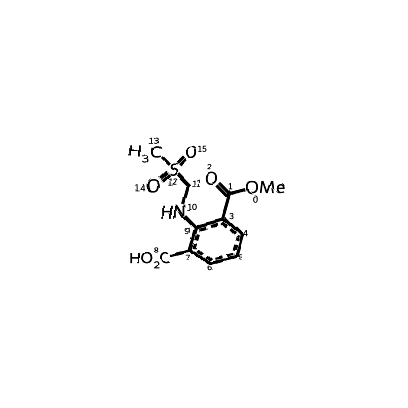 COC(=O)c1cccc(C(=O)O)c1NCS(C)(=O)=O